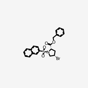 O=C(OCc1ccccc1)[C@@H]1C[C@H](Br)CN1S(=O)(=O)c1ccc2ccccc2c1